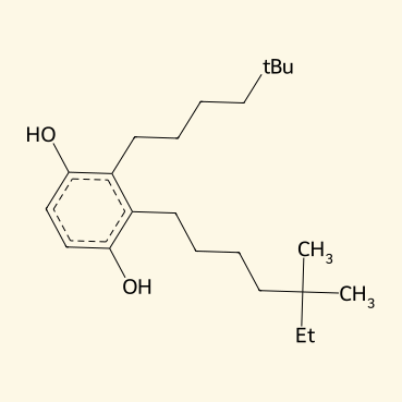 CCC(C)(C)CCCCc1c(O)ccc(O)c1CCCCC(C)(C)C